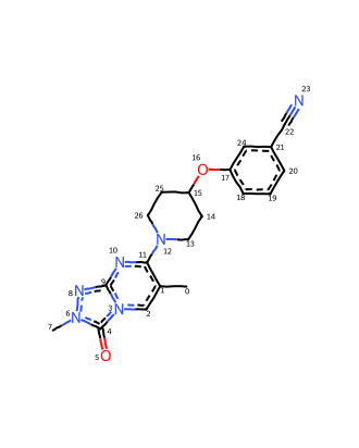 Cc1cn2c(=O)n(C)nc2nc1N1CCC(Oc2cccc(C#N)c2)CC1